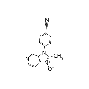 Cc1n(-c2ccc(C#N)cc2)c2cnccc2[n+]1[O-]